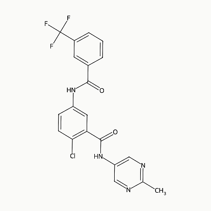 Cc1ncc(NC(=O)c2cc(NC(=O)c3cccc(C(F)(F)F)c3)ccc2Cl)cn1